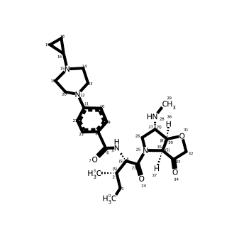 CC[C@H](C)[C@H](NC(=O)c1ccc(N2CCN(C3CC3)CC2)cc1)C(=O)N1C[C@H](NC)[C@H]2OCC(=O)[C@H]21